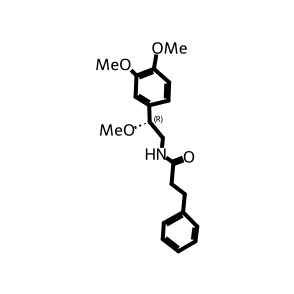 COc1ccc([C@H](CNC(=O)CCc2ccccc2)OC)cc1OC